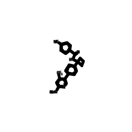 COc1cc(C(F)(F)F)c(-c2ccc(C3(NC(=O)c4ccc(C#N)cc4)CCC3)cc2)cn1